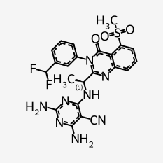 C[C@H](Nc1nc(N)nc(N)c1C#N)c1nc2cccc(S(C)(=O)=O)c2c(=O)n1-c1cccc(C(F)F)c1